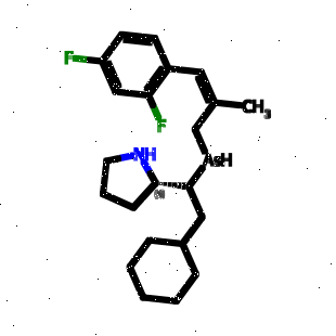 CC(=Cc1ccc(F)cc1F)C[AsH]C(CC1CCCCC1)[C@@H]1CCCN1